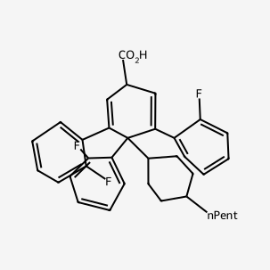 CCCCCC1CCC(C2(c3ccccc3F)C(c3ccccc3F)=CC(C(=O)O)C=C2c2ccccc2F)CC1